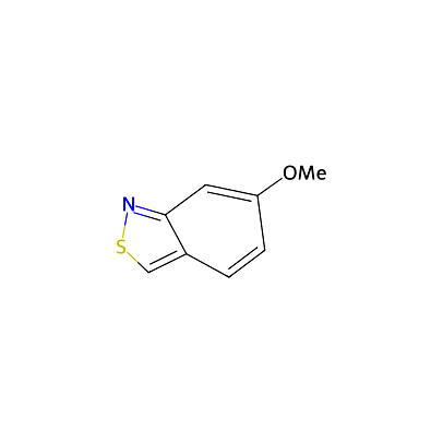 COc1ccc2csnc2c1